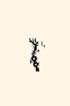 CCCCC(C)COC(=O)CCSc1ccc(-c2ccc(C#N)cc2)c(F)c1